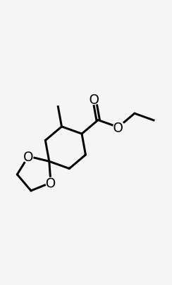 CCOC(=O)C1CCC2(CC1C)OCCO2